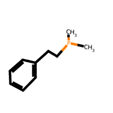 CP(C)CCc1ccccc1